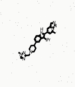 Cc1cc(-c2[nH]c3ccc(C4CCN(Cc5ncn(C)n5)CC4)cc3c2C(C)C)cc2cnnn12